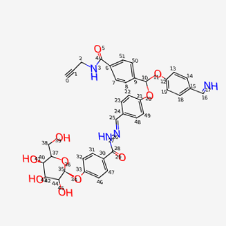 C#CCNC(=O)c1ccc(C(Oc2ccc(C=N)cc2)Oc2ccc(/C=N/NC(=O)c3ccc(O[C@@H]4OC(CO)[C@H](O)C(O)C4O)cc3)cc2)cc1